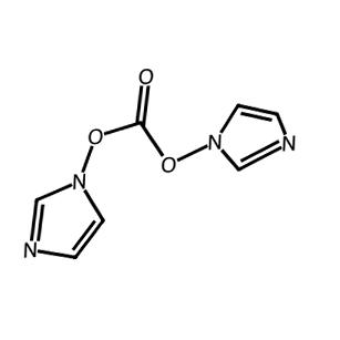 O=C(On1ccnc1)On1ccnc1